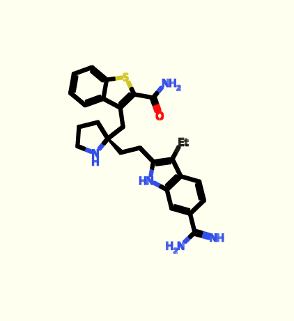 CCc1c(CC[C@]2(Cc3c(C(N)=O)sc4ccccc34)CCCN2)[nH]c2cc(C(=N)N)ccc12